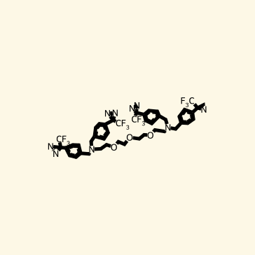 FC(F)(F)C1(c2ccc(CN(CCOCCOCCOCCN(Cc3ccc(C4(C(F)(F)F)N=N4)cc3)Cc3ccc(C4(C(F)(F)F)N=N4)cc3)Cc3ccc(C4(C(F)(F)F)N=N4)cc3)cc2)C=N1